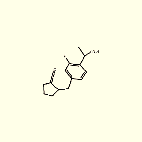 CC(C(=O)O)c1ccc(CC2CCCC2=O)cc1F